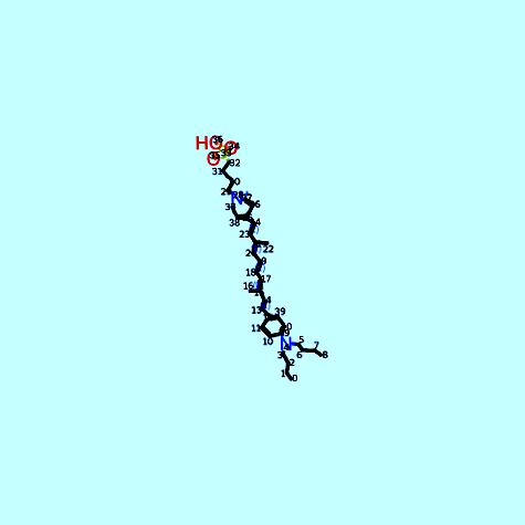 CCCCN(CCCC)c1ccc(/C=C/C(C)=C/C=C/C=C(C)/C=C/c2cc[n+](CCCCS(=O)(=O)O)cc2)cc1